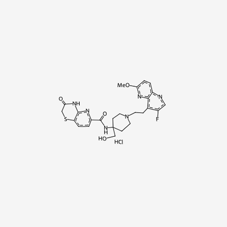 COc1ccc2ncc(F)c(CCN3CCC(CO)(NC(=O)c4ccc5c(n4)NC(=O)CS5)CC3)c2n1.Cl